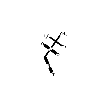 CCC(C)(C)S(=O)(=O)C=[N+]=[N-]